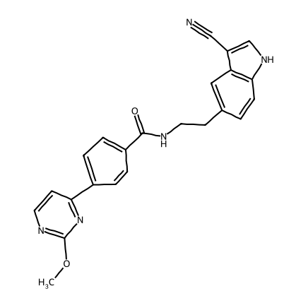 COc1nccc(-c2ccc(C(=O)NCCc3ccc4[nH]cc(C#N)c4c3)cc2)n1